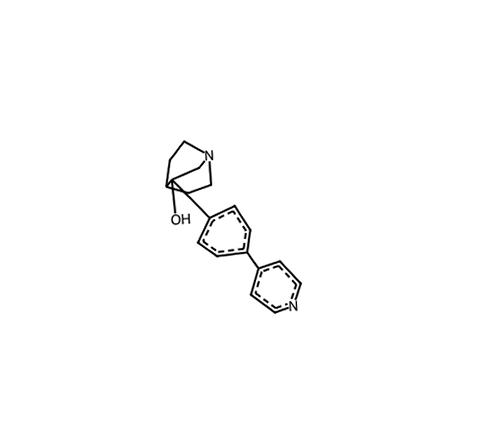 OC1(c2ccc(-c3ccncc3)cc2)CN2CCC1CC2